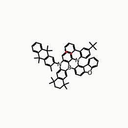 Cc1cc2c3c(c1)N(c1ccc(C(C)(C)C)cc1-c1ccccc1)c1c(ccc4oc5ccccc5c14)B3c1cc3c(cc1N2c1cc2c(cc1C)C(C)(C)c1ccccc1C2(C)C)C(C)(C)CCC3(C)C